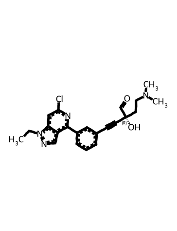 CCn1ncc2c(-c3cccc(C#C[C@@](O)(C=O)CCN(C)C)c3)nc(Cl)cc21